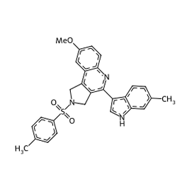 COc1ccc2nc(-c3c[nH]c4cc(C)ccc34)c3c(c2c1)CN(S(=O)(=O)c1ccc(C)cc1)C3